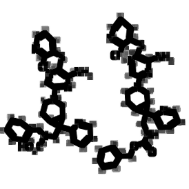 Nc1nc(N2CCC3C(C2)C3(CN(Cc2ccccc2)C(=O)O)c2ccccn2)cnc1Sc1cccnc1C(F)(F)F.Nc1nc(N2CCC3C(C2)C3(CNC(=O)OCc2ccccc2)c2ccccn2)cnc1Sc1cccnc1C(F)(F)F